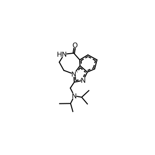 CC(C)N(Cc1nc2cccc3c2n1CCNC3=O)C(C)C